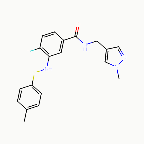 Cc1ccc(SNc2cc(C(=O)NCc3cnn(C)c3)ccc2F)cc1